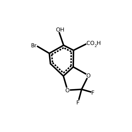 O=C(O)c1c(O)c(Br)cc2c1OC(F)(F)O2